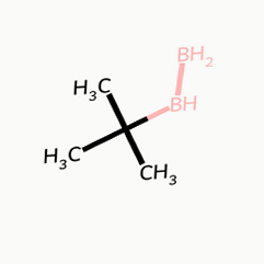 BBC(C)(C)C